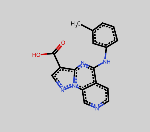 Cc1cccc(Nc2nc3c(C(=O)O)cnn3c3cnccc23)c1